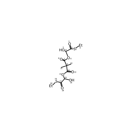 CCSC(=O)C(O)OC(=O)C(C)(C)C(=O)OC(O)C(=O)SCC